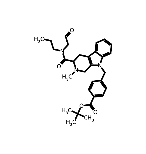 CCCN(CC=O)C(=O)C1Cc2c(n(Cc3ccc(C(=O)OC(C)(C)C)cc3)c3ccccc23)CN1C